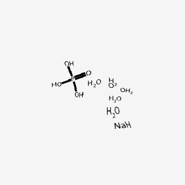 O.O.O.O.O.O=P(O)(O)O.[NaH]